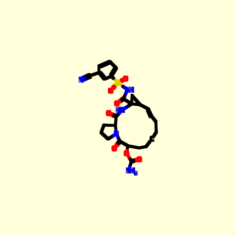 N#Cc1cccc(S(=O)(=O)NC(=O)C23CC2/C=C/CCCCCC(OC(N)=O)C(=O)N2CCCC2C(=O)N3)c1